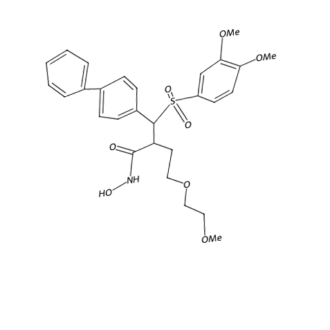 COCCOCCC(C(=O)NO)C(c1ccc(-c2ccccc2)cc1)S(=O)(=O)c1ccc(OC)c(OC)c1